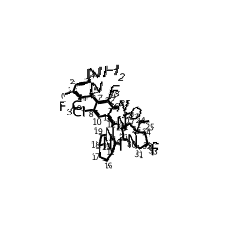 Cc1cc(N)nc(-c2c(Cl)cc3c(N4CC5CCC(C4)N5)nc(OC(C)[C@]45CCCN4C[C@H](F)C5)nc3c2F)c1C(F)(F)F